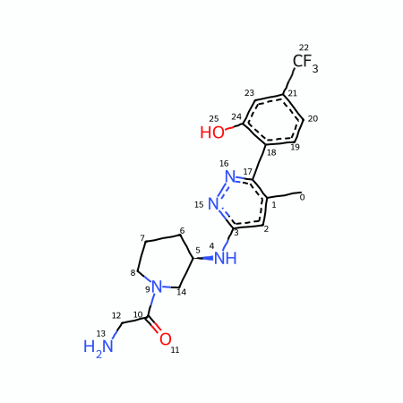 Cc1cc(N[C@@H]2CCCN(C(=O)CN)C2)nnc1-c1ccc(C(F)(F)F)cc1O